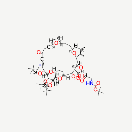 C=C1C2C[C@@H]3O[C@H](C[C@H](O)CNC(=O)OC(C)(C)C)[C@H](OC)C3C(O)[C@@H]3CC[C@@H]4O[C@@H](C(O[Si](C)(C)C(C)(C)C)/C=C/CC(=O)CC[C@H]5CC(=C)[C@H](CC[C@@H](C[C@H]1C)O2)O5)C(O[Si](C)(C)C(C)(C)C)[C@@H](O[Si](C)(C)C(C)(C)C)[C@H]4O3